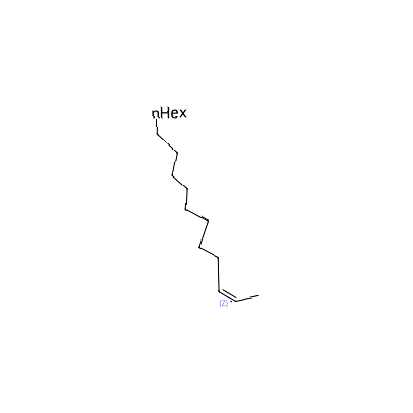 C/[C]=C\CCCCCCCCCCCCCC